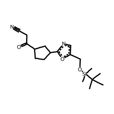 CC(C)(C)[Si](C)(C)OCc1cnc(C2CCC(C(=O)CC#N)C2)o1